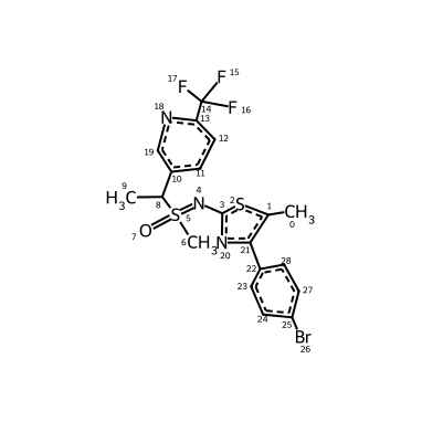 Cc1sc(N=S(C)(=O)C(C)c2ccc(C(F)(F)F)nc2)nc1-c1ccc(Br)cc1